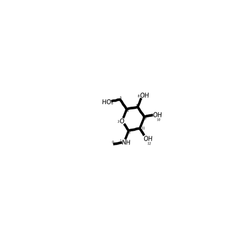 CNC1OC(CO)C(O)C(O)C1O